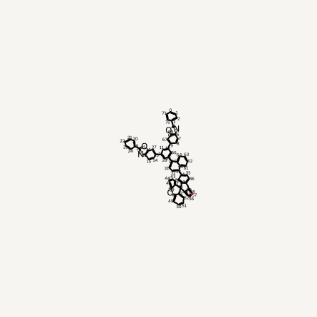 c1ccc(-c2nc3ccc(-c4cc(-c5ccc6nc(-c7ccccc7)oc6c5)cc(-c5ccc(-c6ccc7c(c6)C6(c8ccccc8Oc8ccccc86)c6ccccc6-7)c6ccccc56)c4)cc3o2)cc1